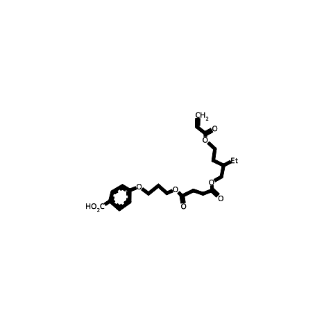 C=CC(=O)OCCC(CC)COC(=O)CCC(=O)OCCCOc1ccc(C(=O)O)cc1